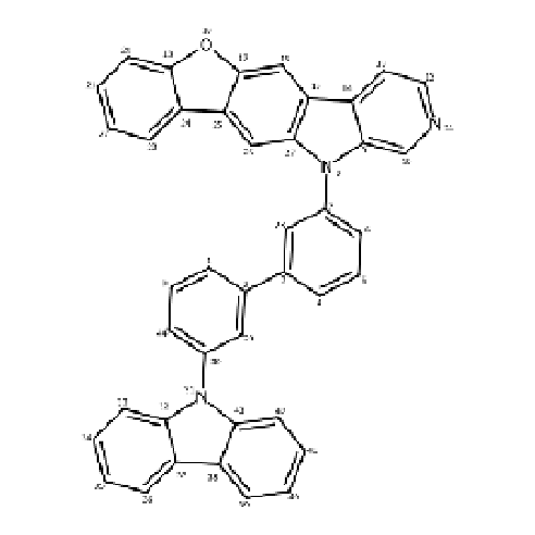 c1cc(-c2cccc(-n3c4cnccc4c4cc5oc6ccccc6c5cc43)c2)cc(-n2c3ccccc3c3ccccc32)c1